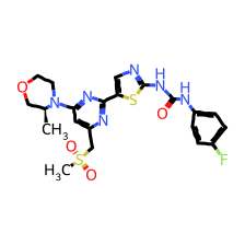 C[C@H]1COCCN1c1cc(CS(C)(=O)=O)nc(-c2cnc(NC(=O)Nc3ccc(F)cc3)s2)n1